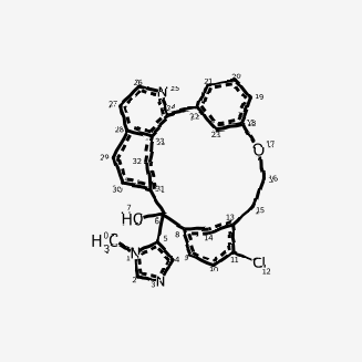 Cn1cncc1C1(O)c2ccc(Cl)c(c2)CCOc2cccc(c2)-c2nccc3ccc1cc23